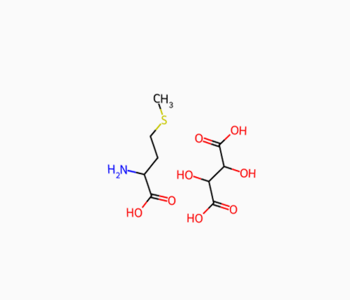 CSCCC(N)C(=O)O.O=C(O)C(O)C(O)C(=O)O